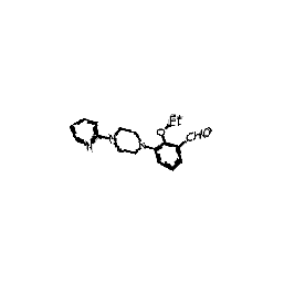 CCOc1c(C=O)cccc1N1CCN(c2ccccn2)CC1